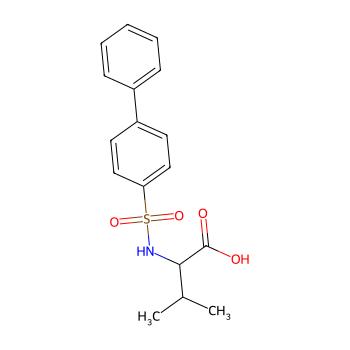 CC(C)C(NS(=O)(=O)c1ccc(-c2ccccc2)cc1)C(=O)O